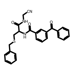 N#CCNC(=O)C(CSCc1ccccc1)NC(=O)c1cccc(C(=O)c2ccccc2)c1